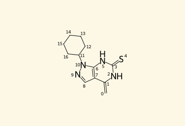 C=C1NC(=S)Nc2c1cnn2C1CCCCC1